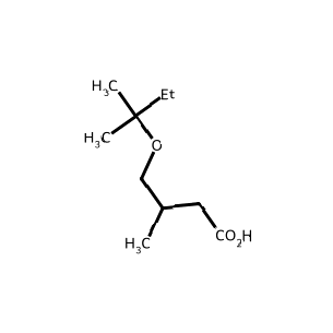 CCC(C)(C)OCC(C)CC(=O)O